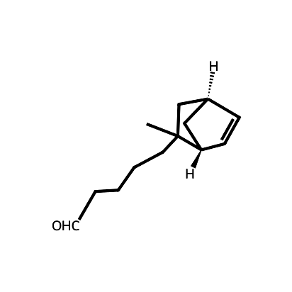 CC1(CCCCC=O)C[C@H]2C=C[C@H]1C2